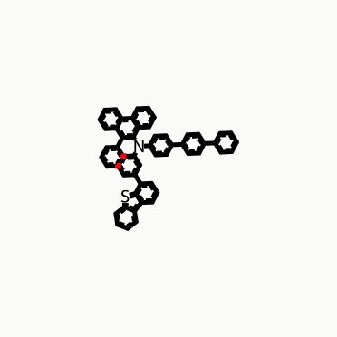 c1ccc(-c2ccc(-c3ccc(N(c4cccc(-c5cccc6c5sc5ccccc56)c4)c4c(-c5ccccc5)c5ccccc5c5ccccc45)cc3)cc2)cc1